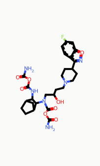 NC(=O)OC(=O)NC1C2CCC(C2)C1N(CC(O)CCN1CCC(c2noc3cc(F)ccc23)CC1)C(=O)OC(N)=O